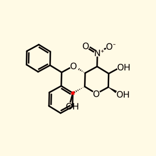 O=[N+]([O-])C1C(O)[C@@H](O)O[C@H](CO)[C@@H]1OC(c1ccccc1)c1ccccc1